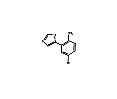 Nc1ccc(Br)cc1-c1cnco1